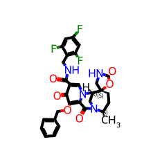 C[C@H]1CC[C@]2(CNC(=O)O2)[C@H]2CN1C(=O)c1c(OCc3ccccc3)c(=O)c(C(=O)NCc3c(F)cc(F)cc3F)cn12